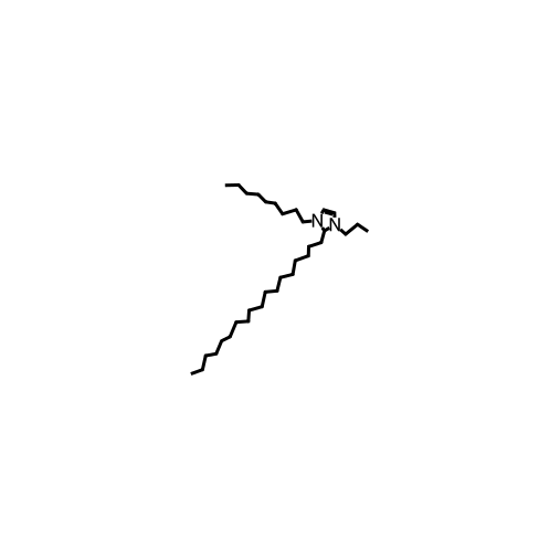 CCCCCCCCCCCCCCCCCCC1N(CCC)C=CN1CCCCCCCCC